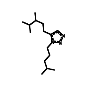 CC(C)CCCn1nncc1CCC(C)C(C)C